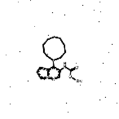 CC(C)(C)OC(=O)Nc1cnn2cccc2c1C1CCCCCCCCC1